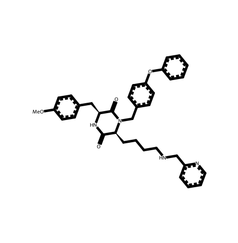 COc1ccc(C[C@@H]2NC(=O)[C@H](CCCCNCc3ccccn3)N(Cc3ccc(Oc4ccccc4)cc3)C2=O)cc1